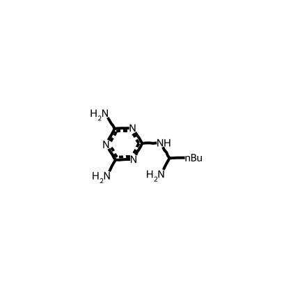 CCCCC(N)Nc1nc(N)nc(N)n1